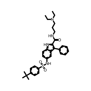 CCN(CC)CCCNC(=O)c1[nH]c2ccc(NS(=O)(=O)c3ccc(C(C)(C)C)cc3)cc2c1-c1ccccc1